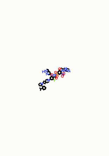 CC(C)c1ccccc1[C@@H]1CCCN1C1CC2(CCN(c3cc(F)c(C(=O)NS(=O)(=O)c4cc5c(c([N+](=O)[O-])c4)N[C@@H](CN4CCN(C)CC4)CO5)c(Oc4cnc5[nH]ccc5c4)c3)CC2)C1